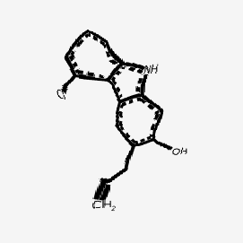 C=CCc1cc2c(cc1O)[nH]c1cccc(Cl)c12